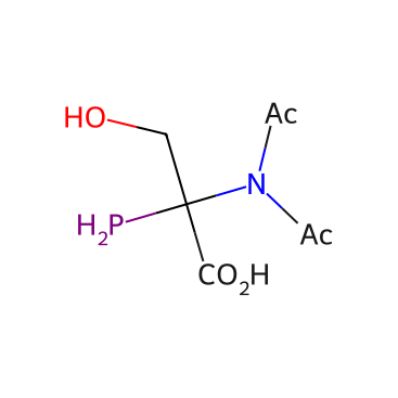 CC(=O)N(C(C)=O)C(P)(CO)C(=O)O